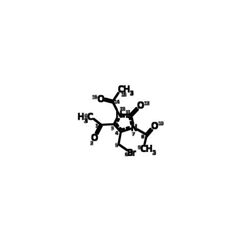 CC(=O)c1c(CBr)n(C(C)=O)c(=O)n1C(C)=O